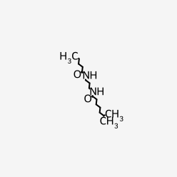 CCCCC(=O)NCCCNC(=O)CCCCC(C)C